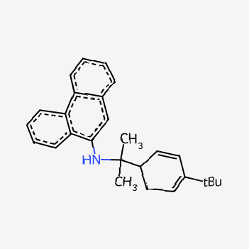 CC(C)(C)C1=CCC(C(C)(C)Nc2cc3ccccc3c3ccccc23)C=C1